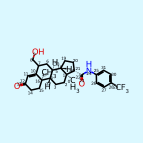 C[C@]12CC[C@H]3[C@@H](CC(CO)C4=CC(=O)CC[C@@]43C)[C@@H]1CC[C@@H]2C(=O)Nc1ccc(C(F)(F)F)cc1